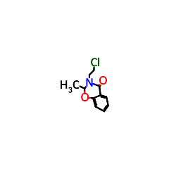 CC1Oc2ccccc2C(=O)N1CCCl